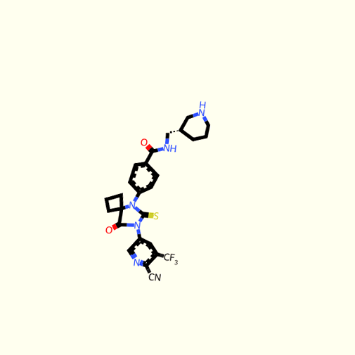 N#Cc1ncc(N2C(=O)C3(CCC3)N(c3ccc(C(=O)NC[C@H]4CCCNC4)cc3)C2=S)cc1C(F)(F)F